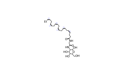 CC/C=C\C/C=C\C/C=C\C/C=C\C/C=C\C/C=C\CCC(=O)NCC(=O)NC1C(O)OC(CO)C(O)C1O